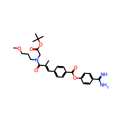 COCCCN(CC(=O)OC(C)(C)C)C(=O)/C(C)=C/c1ccc(C(=O)Oc2ccc(C(=N)N)cc2)cc1